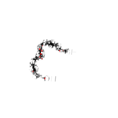 CC(C)(O)C#Cc1ccc(Oc2ccc(S(=O)(=O)c3ccc(Oc4ccc(Oc5ccccc5S(=O)(=O)c5ccc(Oc6ccc(Oc7ccc(S(=O)(=O)c8ccc(Oc9cccc(C#CC(C)(C)O)c9)cc8)cc7)cc6)cc5)cc4)cc3)cc2)cc1